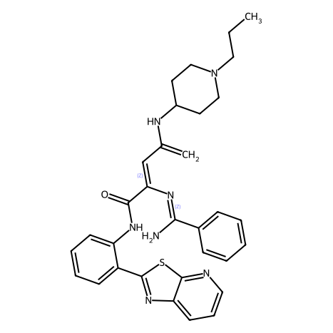 C=C(/C=C(\N=C(/N)c1ccccc1)C(=O)Nc1ccccc1-c1nc2cccnc2s1)NC1CCN(CCC)CC1